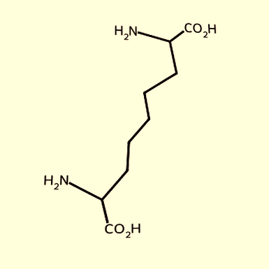 NC(CCCCCC(N)C(=O)O)C(=O)O